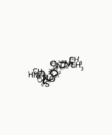 CNC(=O)Oc1csc(O[C@H]2CC[C@H](C(=O)N3CCN(C(C)C)CC3)CC2)n1